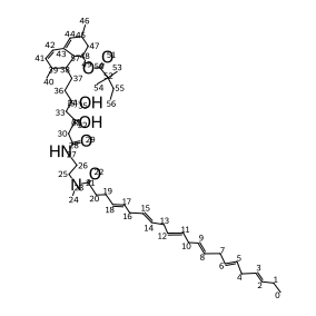 CCC=CCC=CCC=CCC=CCC=CCC=CCCC(=O)N(C)CCNC(=O)C[C@H](O)C[C@@H](O)CCC1C(C)C=CC2=CC(C)CC(OC(=O)C(C)(C)CC)C21